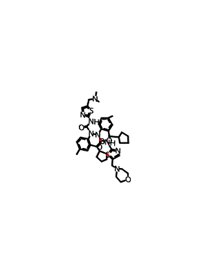 Cc1ccc(N(C(=O)Nc2ncc(CN(C)C)s2)N(C(=O)Nc2ncc(CN3CCOCC3)s2)c2ccc(C)cc2C(=O)C2CCCC2)c(C(=O)C2CCCC2)c1